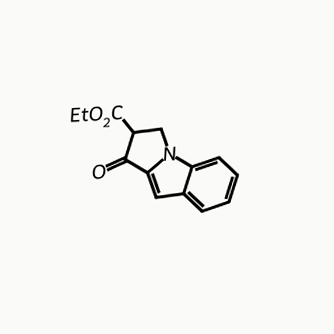 CCOC(=O)C1Cn2c(cc3ccccc32)C1=O